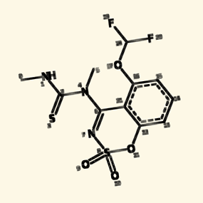 CNC(=S)N(C)C1=NS(=O)(=O)Oc2cccc(OC(F)F)c21